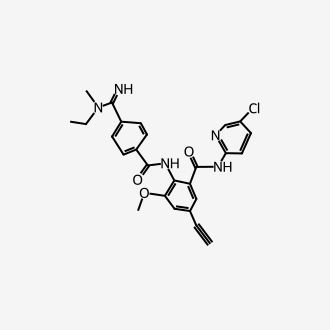 C#Cc1cc(OC)c(NC(=O)c2ccc(C(=N)N(C)CC)cc2)c(C(=O)Nc2ccc(Cl)cn2)c1